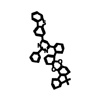 CC1(C)c2ccccc2-c2c1ccc1c2Oc2cccc(-c3ccccc3-c3cc(-c4ccc5c(c4)sc4ccccc45)nc(-c4ccccc4)n3)c2O1